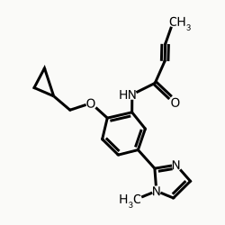 CC#CC(=O)Nc1cc(-c2nccn2C)ccc1OCC1CC1